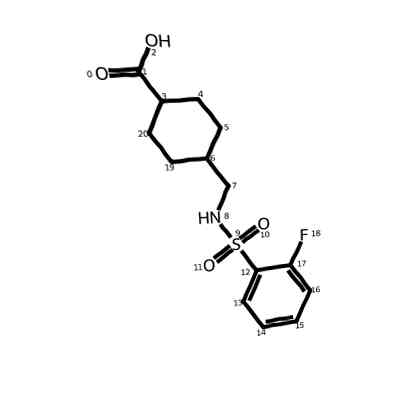 O=C(O)C1CCC(CNS(=O)(=O)c2ccccc2F)CC1